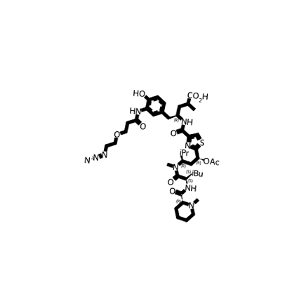 CC[C@H](C)[C@H](NC(=O)[C@H]1CCCCN1C)C(=O)N(C)[C@H](C[C@@H](OC(C)=O)c1nc(C(=O)N[C@@H](Cc2ccc(O)c(NC(=O)CCOCCN=[N+]=[N-])c2)CC(C)C(=O)O)cs1)C(C)C